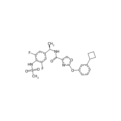 C[C@@H](NC(=O)c1coc(Oc2cccc(C3CCC3)c2)n1)c1cc(F)c(NS(C)(=O)=O)c(F)c1